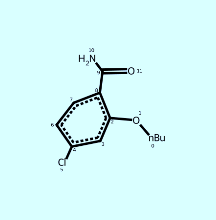 CCCCOc1cc(Cl)ccc1C(N)=O